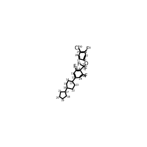 Fc1cc(OC(F)(F)c2c(F)cc(C3CCC(C4CCCC4)CC3)cc2F)ccc1Cl